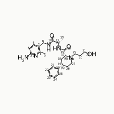 Cc1nc(N)ccc1CNC(=O)[C@H](C)NC(=O)[C@H]1C[C@@H](c2ccccc2)CCN1CCCO